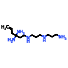 C=CCC(N)(N)CCNCCCNCCCN